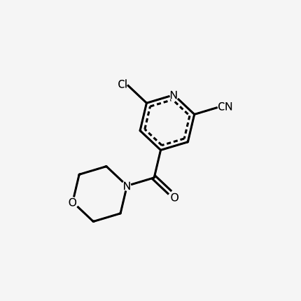 N#Cc1cc(C(=O)N2CCOCC2)cc(Cl)n1